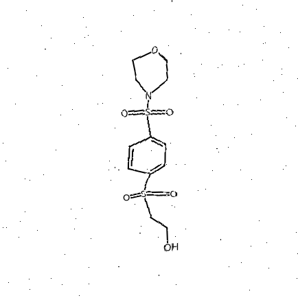 O=S(=O)(CCO)c1ccc(S(=O)(=O)N2CCOCC2)cc1